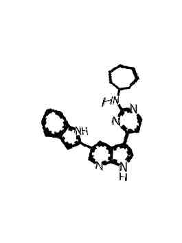 c1ccc2[nH]c(-c3cnc4[nH]cc(-c5ccnc(NC6CCCCCC6)n5)c4c3)cc2c1